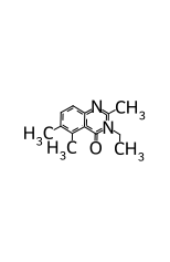 CCn1c(C)nc2ccc(C)c(C)c2c1=O